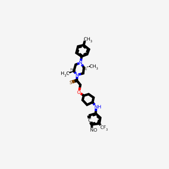 Cc1ccc(N2C[C@H](C)N(C(=S)COC3CCC(Nc4ccc(N=O)c(C(F)(F)F)c4)CC3)C[C@H]2C)cc1